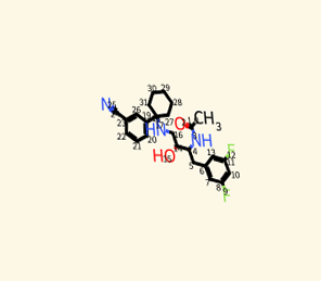 CC(=O)NC(Cc1cc(F)cc(F)c1)C(O)CNC1(c2cccc(C#N)c2)CCCCC1